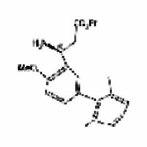 CCOC(=O)C[C@H](N)c1cc(-c2c(C)cccc2C)ccc1OC